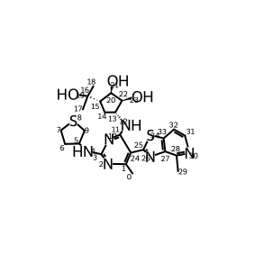 Cc1nc(NC2CCSC2)nc(N[C@@H]2C[C@H](C(C)(C)O)[C@@H](O)[C@H]2O)c1-c1nc2c(C)nccc2s1